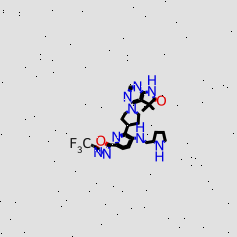 CC1(C)C(=O)Nc2ncnc(N3CCC(c4nc(-c5nnc(C(F)(F)F)o5)ccc4NCC4CCCN4)CC3)c21